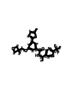 Cc1cnc(-c2cc(OCC3(C)COC3)cc(C(=O)NC(C)c3cnc(C(F)(F)F)nc3)c2)s1